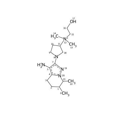 CC1CCc2c(N)c(N3CCC([N+](C)(C)CCO)C3)nn2C1C